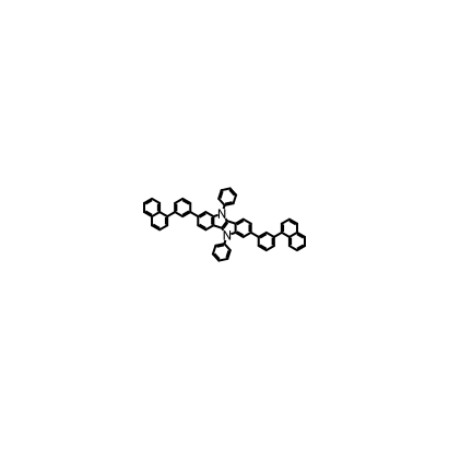 c1ccc(-n2c3cc(-c4cccc(-c5cccc6ccccc56)c4)ccc3c3c2c2ccc(-c4cccc(-c5cccc6ccccc56)c4)cc2n3-c2ccccc2)cc1